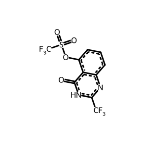 O=c1[nH]c(C(F)(F)F)nc2cccc(OS(=O)(=O)C(F)(F)F)c12